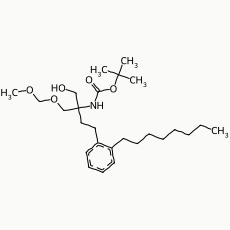 CCCCCCCCc1ccccc1CCC(CO)(COCOC)NC(=O)OC(C)(C)C